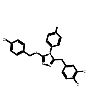 Fc1ccc(-n2c(Cc3ccc(Cl)c(Cl)c3)nnc2SCc2ccc(Cl)cc2)cc1